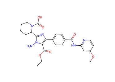 CCOC(=O)c1c(-c2ccc(C(=O)Nc3cc(OC)ccn3)cc2)nc(C2CCCCN2C(=O)O)n1N